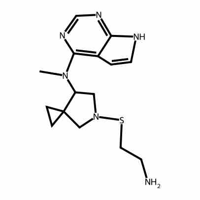 CN(c1ncnc2[nH]ccc12)C1CN(SCCN)CC12CC2